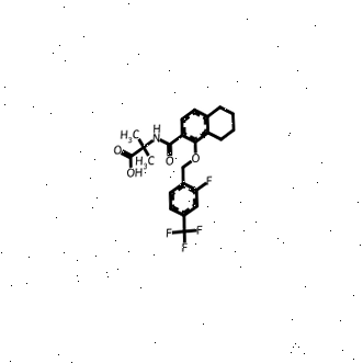 CC(C)(NC(=O)c1ccc2c(c1OCc1ccc(C(F)(F)F)cc1F)CCCC2)C(=O)O